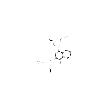 C=CCB(OCN)c1cc(N(BOC)CC=C)c(C)c2ccccc12